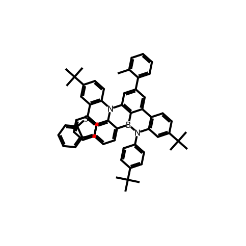 Cc1ccccc1-c1cc2c3c(c1)N(c1ccc(C(C)(C)C)cc1-c1ccccc1)c1c(ccc4c1sc1ccccc14)B3N(c1ccc(C(C)(C)C)cc1)c1cc(C(C)(C)C)ccc1-2